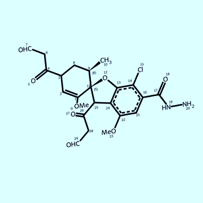 COC1=CC(C(=O)CC=O)C[C@@H](C)[C@@]12Oc1c(Cl)c(C(=O)NN)cc(OC)c1C2C(=O)CC=O